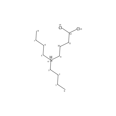 CCCC[SiH](CCCC)CCCC(Cl)Cl